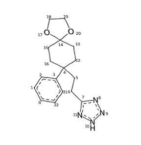 c1ccc(C2(CCc3nn[nH]n3)CCC3(CC2)OCCO3)cc1